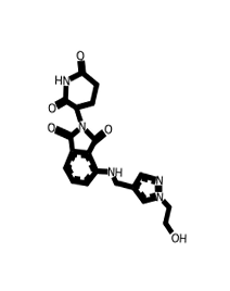 O=C1CCC(N2C(=O)c3cccc(NCc4cnn(CCO)c4)c3C2=O)C(=O)N1